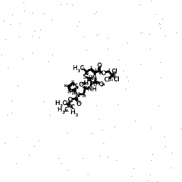 CC1C=C(C(=O)OCC(Cl)(Cl)Cl)N2C(=O)C(NC(=O)CN(C(=O)OC(C)(C)C)c3cccs3)[C@@H]2S1